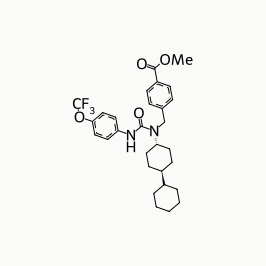 COC(=O)c1ccc(CN(C(=O)Nc2ccc(OC(F)(F)F)cc2)[C@H]2CC[C@H](C3CCCCC3)CC2)cc1